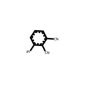 CC(C)c1cccc(C#N)c1C#N